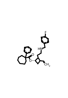 C=CC1C[C@H](OC(=O)C2(c3ccccc3)CCCCCC2)C1CCNCc1ccc(F)cc1